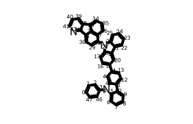 c1ccc(-n2c3ccccc3c3ccc(-c4ccc5c(c4)c4ccccc4n5-c4ccc5c6c(cccc46)-c4cccnc4-5)cc32)cc1